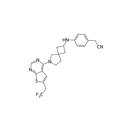 N#CCc1ccc(NC2CC3(CCN(c4ncnc5sc(CC(F)(F)F)cc45)C3)C2)cc1